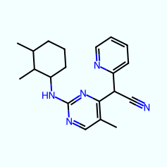 Cc1cnc(NC2CCCC(C)C2C)nc1C(C#N)c1ccccn1